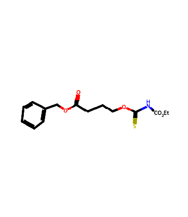 CCOC(=O)NC(=S)OCCCC(=O)OCc1ccccc1